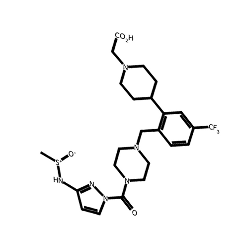 C[S+]([O-])Nc1ccn(C(=O)N2CCN(Cc3ccc(C(F)(F)F)cc3C3CCN(CC(=O)O)CC3)CC2)n1